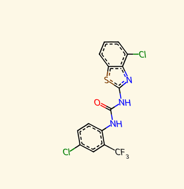 O=C(Nc1nc2c(Cl)cccc2s1)Nc1ccc(Cl)cc1C(F)(F)F